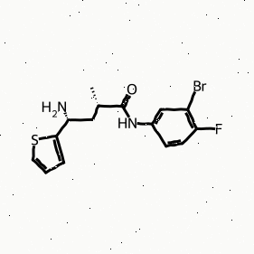 C[C@@H](C[C@@H](N)c1cccs1)C(=O)Nc1ccc(F)c(Br)c1